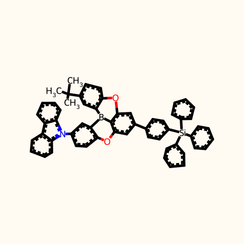 CC(C)(C)c1ccc2c(c1)B1c3cc(-n4c5ccccc5c5ccccc54)ccc3Oc3cc(-c4ccc([Si](c5ccccc5)(c5ccccc5)c5ccccc5)cc4)cc(c31)O2